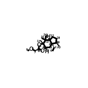 CC[C@]12C[C@@H]3O[C@@H](COC)O[C@]3(C)C(C)(C)[C@@H]1CC[C@H]2C